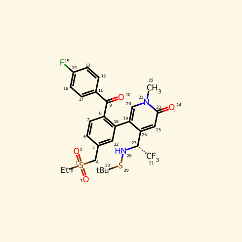 CCS(=O)(=O)Cc1ccc(C(=O)c2ccc(F)cc2)c(-c2cn(C)c(=O)cc2[C@@H](NSC(C)(C)C)C(F)(F)F)c1